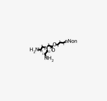 CCCCCCCCCCCCOC(=O)CN(CCN)CCN